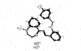 CN1CCN=C(/C=C/c2ccccc2OCc2ccc(C(F)(F)F)cc2)c2ccccc21.Cl.Cl